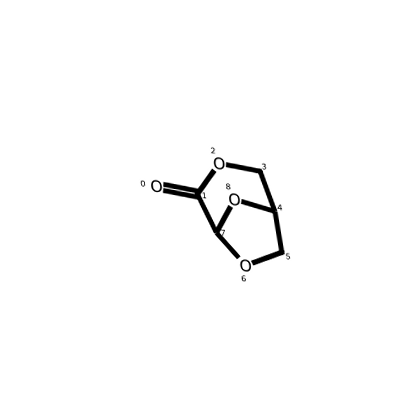 O=C1OCC2COC1O2